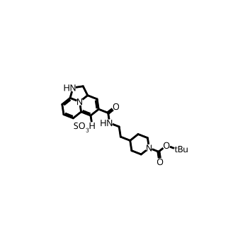 CC(C)(C)OC(=O)N1CCC(CCNC(=O)C2=CC3CNC4=CC=CC(=C2S(=O)(=O)O)N43)CC1